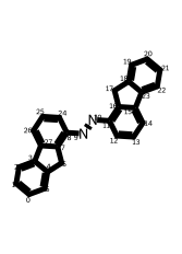 c1ccc2c(c1)Cc1c(N=Nc3cccc4c3Cc3ccccc3-4)cccc1-2